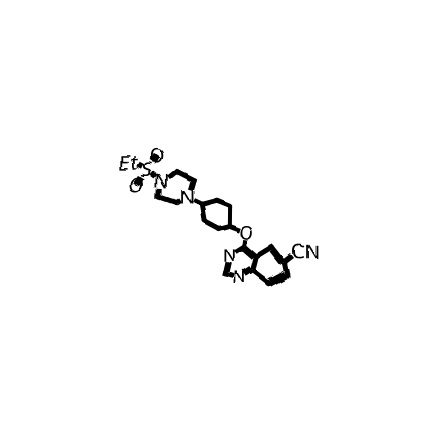 CCS(=O)(=O)N1CCN(C2CCC(Oc3ncnc4ccc(C#N)cc34)CC2)CC1